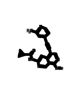 CNc1ncc(C#Cc2ccnc(C(F)(F)F)c2)c2cc(NC(=O)C3CC3)ncc12